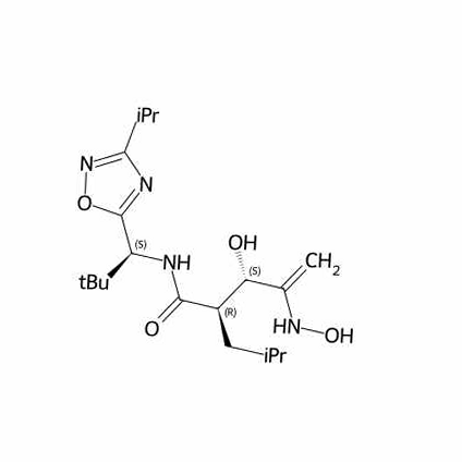 C=C(NO)[C@@H](O)[C@@H](CC(C)C)C(=O)N[C@H](c1nc(C(C)C)no1)C(C)(C)C